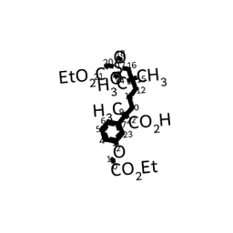 CCOC(=O)COc1cccc(C(C)(CCCC(C)(C)CS(=O)(=O)CC(=O)OCC)C(=O)O)c1